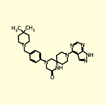 CC1(C)CCN(Cc2ccc(N3CC(=O)NC4(CCN(c5ncnc6[nH]ncc56)CC4)C3)cc2)CC1